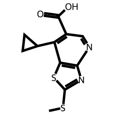 CSc1nc2ncc(C(=O)O)c(C3CC3)c2s1